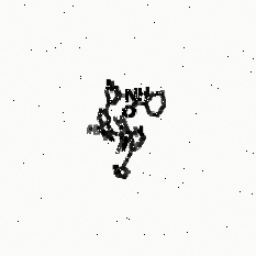 O=C(Nc1cncc(-c2ccc3[nH]nc(-c4nc5c(-c6cccs6)ccnc5[nH]4)c3c2)c1)C1CCCCC1